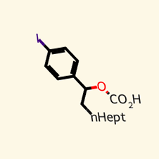 CCCCCCCCC(OC(=O)O)c1ccc(I)cc1